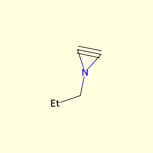 CCCN1C#C1